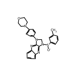 Cc1cccc([S+]([O-])N2CN(c3ccc(N4CCOCC4)cc3)c3nc4ccccc4nc32)c1